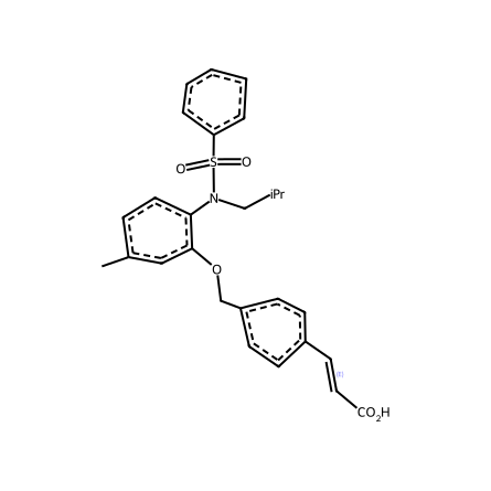 Cc1ccc(N(CC(C)C)S(=O)(=O)c2ccccc2)c(OCc2ccc(/C=C/C(=O)O)cc2)c1